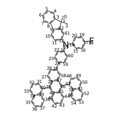 CC1(C)c2ccccc2-c2ccc(N(c3ccc(F)cc3)c3ccc(-c4ccc5c(-c6cccc7ccccc67)c6ccccc6c(-c6cccc7ccccc67)c5c4)cc3)cc21